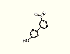 O=[N+]([O-])c1cccc(-c2ccc(O)cc2)c1